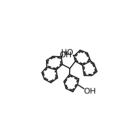 Oc1cccc(C(c2c(O)ccc3ccccc23)c2c(O)ccc3ccccc23)c1